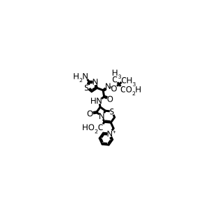 CC(C)(O/N=C(\C(=O)NC1C(=O)N2C(C(=O)O)=C(C[n+]3ccccc3)CSC12)c1csc(N)n1)C(=O)O